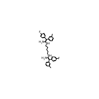 Cc1cccc(C(=C(N)BCCCCCBC(N)=C(c2ccc(F)cc2)c2cccc(C)c2)c2ccc(F)cc2)c1